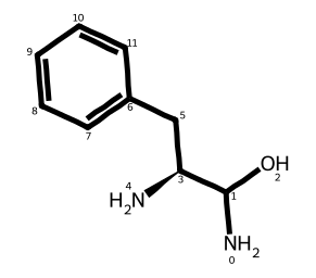 NC(O)[C@@H](N)Cc1ccccc1